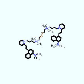 CN(C)c1ccc(/C=C/C2=CC=CCN2CCCC[N+](C)(C)CCSSCC[N+](C)(C)CCCC[n+]2ccccc2/C=C/c2ccc(N(C)C)c3ccccc23)c2ccccc12